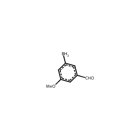 Bc1cc(C=O)cc(OC)c1